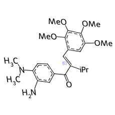 COc1cc(/C=C(/C(=O)c2ccc(N(C)C)c(N)c2)C(C)C)c(OC)c(OC)c1OC